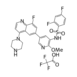 COc1ncc(-c2cc(F)c3nccc(N4CCNCC4)c3c2)cc1NS(=O)(=O)c1ccc(F)cc1F.O=C(O)C(F)(F)F